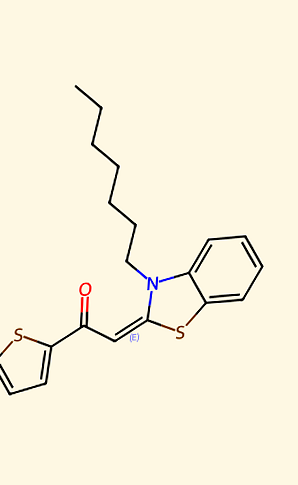 CCCCCCCN1/C(=C\C(=O)c2cccs2)Sc2ccccc21